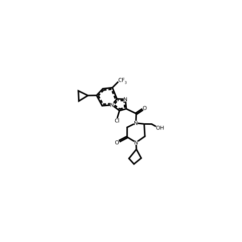 O=C1CN(C(=O)c2nc3c(C(F)(F)F)cc(C4CC4)cn3c2Cl)C(CO)CN1C1CCC1